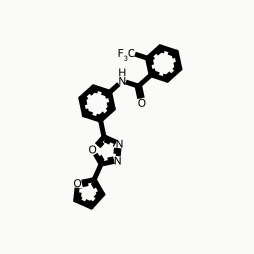 O=C(Nc1cccc(-c2nnc(-c3ccco3)o2)c1)c1ccccc1C(F)(F)F